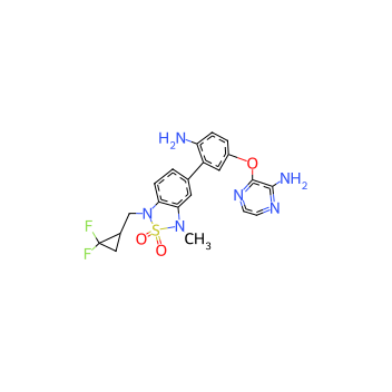 CN1c2cc(-c3cc(Oc4nccnc4N)ccc3N)ccc2N(CC2CC2(F)F)S1(=O)=O